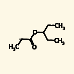 C[CH]C(=O)OC(CC)CC